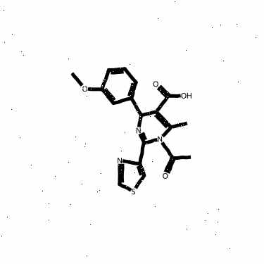 COc1cccc(C2N=C(c3cscn3)N(C(C)=O)C(C)=C2C(=O)O)c1